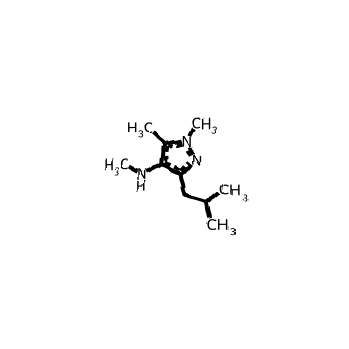 CNc1c(CC(C)C)nn(C)c1C